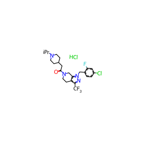 CC(C)N1CCC(CC(=O)N2CCc3c(C(F)(F)F)nn(Cc4ccc(Cl)cc4F)c3C2)CC1.Cl